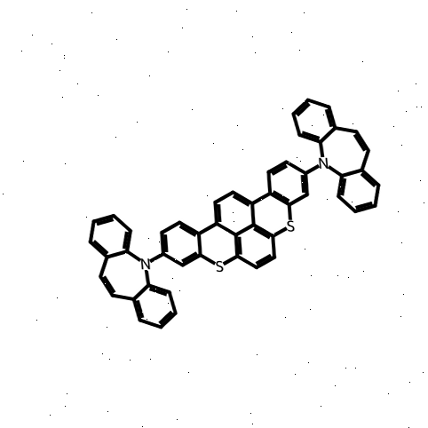 C1=Cc2ccccc2N(c2ccc3c(c2)Sc2ccc4c5c(ccc-3c25)-c2ccc(N3c5ccccc5C=Cc5ccccc53)cc2S4)c2ccccc21